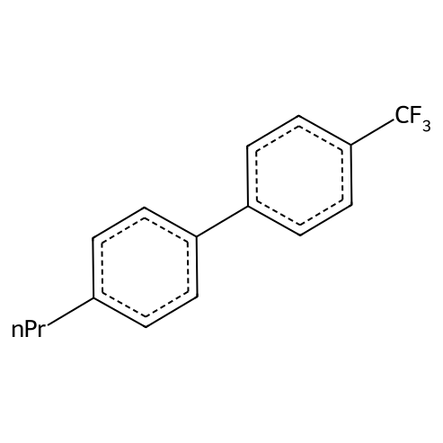 CCCc1ccc(-c2ccc(C(F)(F)F)cc2)cc1